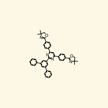 CC1(C)COC(c2ccc(-c3cc(-c4ccc(C5=NC(C)(C)CO5)cc4)nc(-c4cc(-c5ccccc5)cc(-c5ccccc5)c4)n3)cc2)=N1